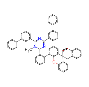 CN1C(c2cccc(-c3ccccc3)c2)=NC(c2cccc(-c3ccccc3)c2)=NC1c1ccccc1-c1cccc2c1Oc1ccccc1C21Cc2ccccc2-c2ccccc21